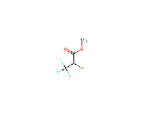 COC(=O)C(Br)C(F)(F)F